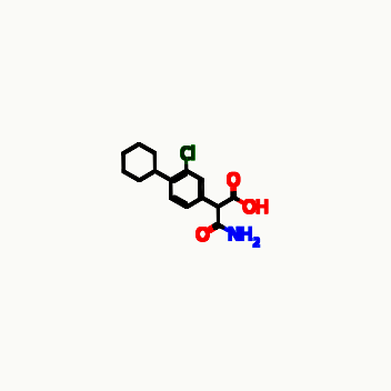 NC(=O)C(C(=O)O)c1ccc(C2CCCCC2)c(Cl)c1